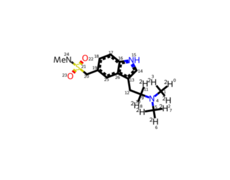 [2H]C([2H])([2H])N(C([2H])([2H])[2H])C([2H])([2H])Cc1c[nH]c2ccc(CS(=O)(=O)NC)cc12